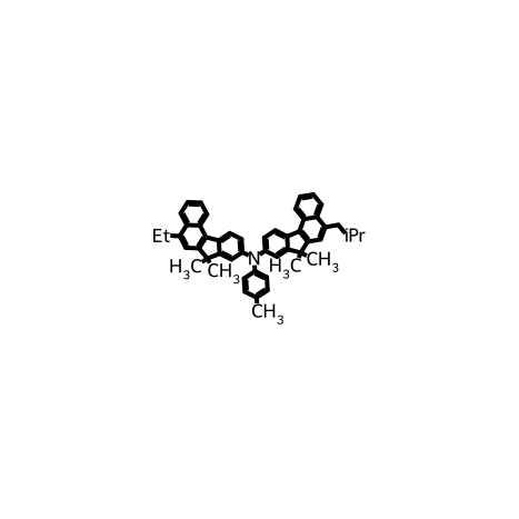 CCc1cc2c(c3ccccc13)-c1ccc(N(c3ccc(C)cc3)c3ccc4c(c3)C(C)(C)c3cc(CC(C)C)c5ccccc5c3-4)cc1C2(C)C